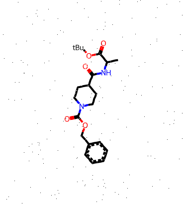 CC(NC(=O)C1CCN(C(=O)OCc2ccccc2)CC1)C(=O)OC(C)(C)C